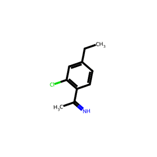 CCc1ccc(C(C)=N)c(Cl)c1